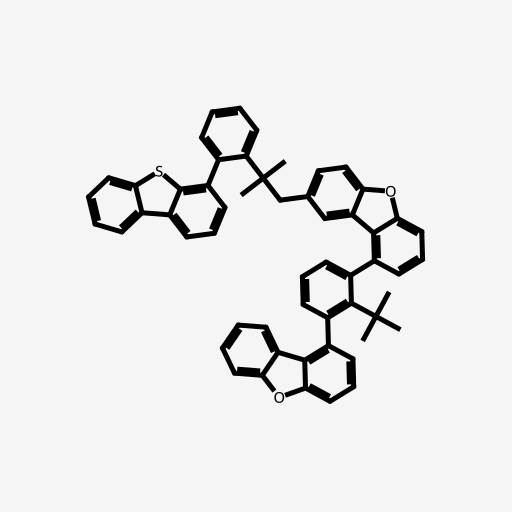 CC(C)(C)c1c(-c2cccc3oc4ccccc4c23)cccc1-c1cccc2oc3ccc(CC(C)(C)c4ccccc4-c4cccc5c4sc4ccccc45)cc3c12